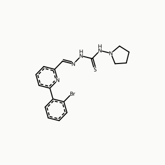 S=C(NN=Cc1cccc(-c2ccccc2Br)n1)NN1CCCC1